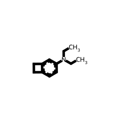 CCN(CC)c1ccc2c(c1)CC2